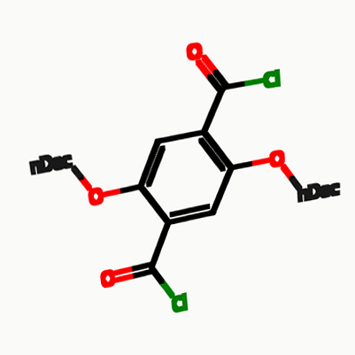 CCCCCCCCCCOc1cc(C(=O)Cl)c(OCCCCCCCCCC)cc1C(=O)Cl